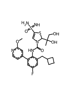 COc1cc(-c2cc(F)cc(CC3CCC3)c2NC(=O)N2C=C(S(=N)(N)=O)SC2C(C)(O)CO)ccn1